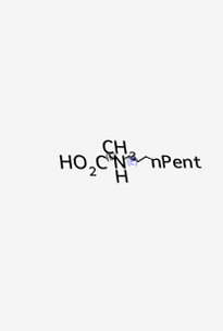 CCCCCC/C=C/N[C@@H](C)C(=O)O